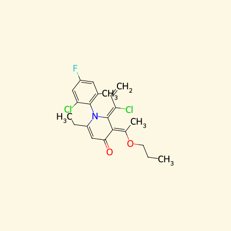 C=C/C(Cl)=c1/c(=C(\C)OCCC)c(=O)cc(CC)n1-c1c(C)cc(F)cc1Cl